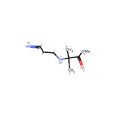 COC(=O)C(C)(C)NCCC=N